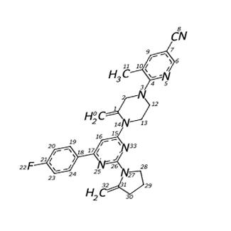 C=C1CN(c2ncc(C#N)cc2C)CCN1c1cc(-c2ccc(F)cc2)nc(N2CCCC2=C)n1